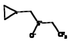 [O-][S+](C[C]1CC1)CC(F)(F)F